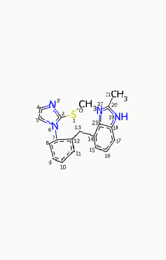 CSc1nccn1-c1ccccc1Cc1cccc2[nH]c(C)nc12